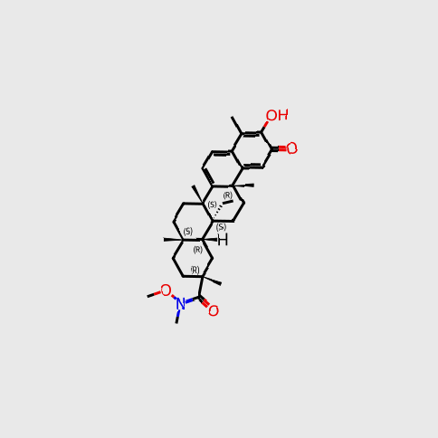 CC[C@@]12CC[C@@]3(C)C4=CC(=O)C(O)=C(C)C4=CC=C3[C@@]1(C)CC[C@@]1(C)CC[C@@](C)(C(=O)N(C)OC)C[C@H]12